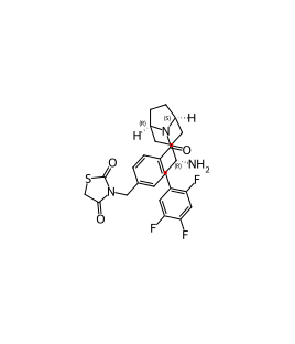 N[C@H](Cc1cc(F)c(F)cc1F)C1C[C@H]2CC[C@@H](C1)N2C(=O)c1ccc(CN2C(=O)CSC2=O)cc1